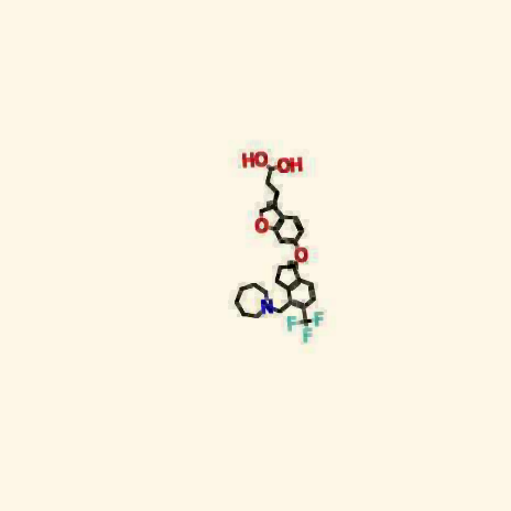 OC(O)CC[C@@H]1COc2cc(O[C@@H]3CCc4c3ccc(C(F)(F)F)c4CN3CCCCCC3)ccc21